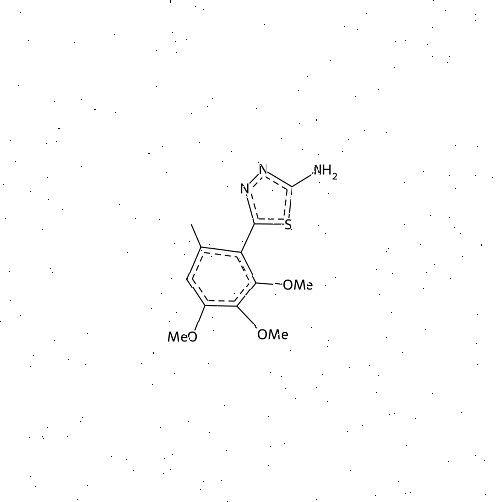 COc1cc(C)c(-c2nnc(N)s2)c(OC)c1OC